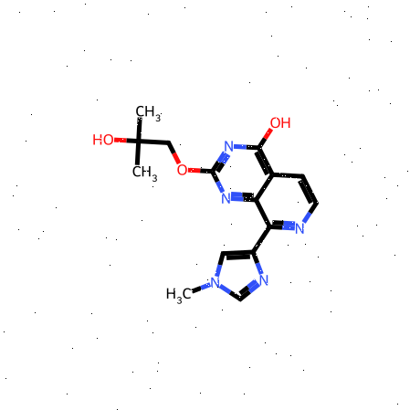 Cn1cnc(-c2nccc3c(O)nc(OCC(C)(C)O)nc23)c1